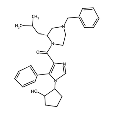 CC(C)C[C@@H]1CN(Cc2ccccc2)CCN1C(=O)c1ncn(C2CCCC2O)c1-c1ccccc1